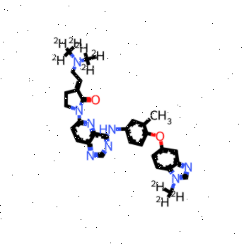 [2H]C([2H])([2H])N(C/C=C1\CCN(c2ccc3ncnc(Nc4ccc(Oc5ccc6c(c5)ncn6C([2H])([2H])[2H])c(C)c4)c3n2)C1=O)C([2H])([2H])[2H]